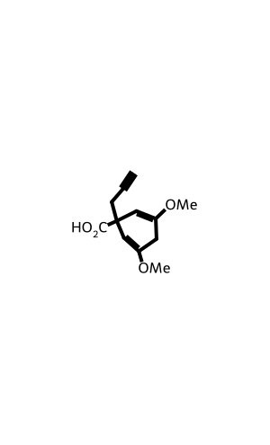 C#CCC1(C(=O)O)C=C(OC)CC(OC)=C1